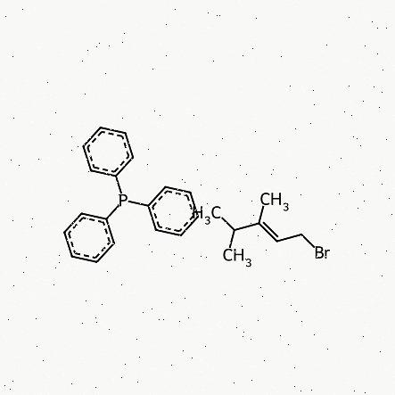 C/C(=C\CBr)C(C)C.c1ccc(P(c2ccccc2)c2ccccc2)cc1